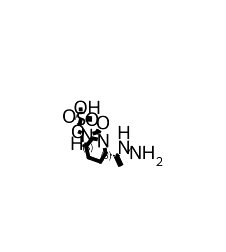 C=C(NN)[C@@H]1CC[C@H]2CN1C(=O)N2OS(=O)(=O)O